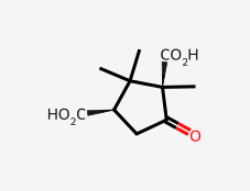 CC1(C)[C@H](C(=O)O)CC(=O)[C@]1(C)C(=O)O